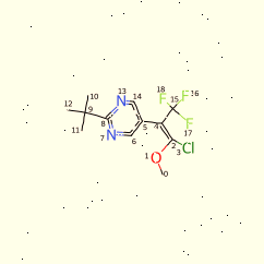 CO/C(Cl)=C(\c1cnc(C(C)(C)C)nc1)C(F)(F)F